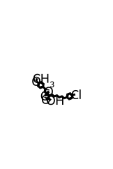 COc1ccc(CCS(=O)(=O)C(CCCCCCc2ccc(Cl)cc2)C(=O)O)cc1